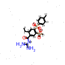 CCc1cc(S(=O)(=O)c2ccc(C)cc2)c(S(C)(=O)=O)cc1C(=O)N=C(N)N